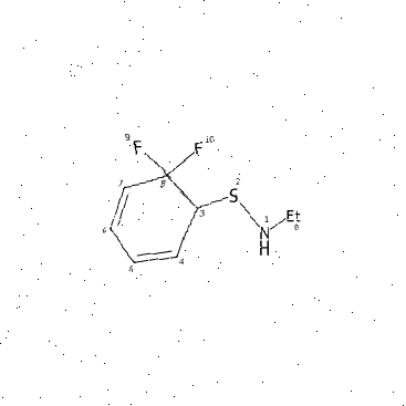 CCNSC1C=CC=CC1(F)F